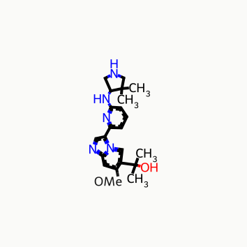 COc1cc2ncc(-c3cccc(NC4CNCC4(C)C)n3)n2cc1C(C)(C)O